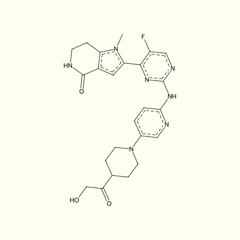 Cn1c(-c2nc(Nc3ccc(N4CCC(C(=O)CO)CC4)cn3)ncc2F)cc2c1CCNC2=O